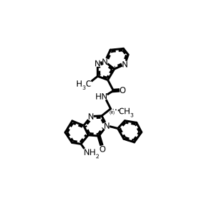 Cc1nn2cccnc2c1C(=O)N[C@H](C)c1nc2cccc(N)c2c(=O)n1-c1ccccc1